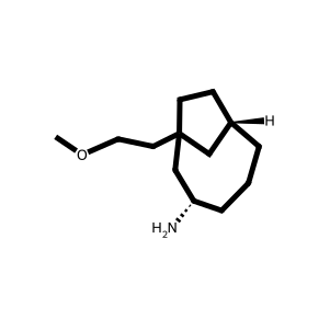 COCCC12CC[C@H](CCC[C@H](N)C1)C2